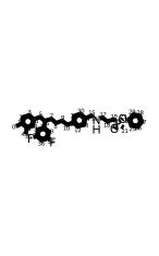 Cc1ccc(CC(CCCCc2ccc(CNCCCP(C)(=O)Oc3ccccc3)cc2)c2cc(F)cc(F)c2)cc1C